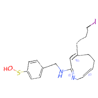 OSc1ccc(CNC2=N/C=C\CC/C(CCCI)=C\2)cc1